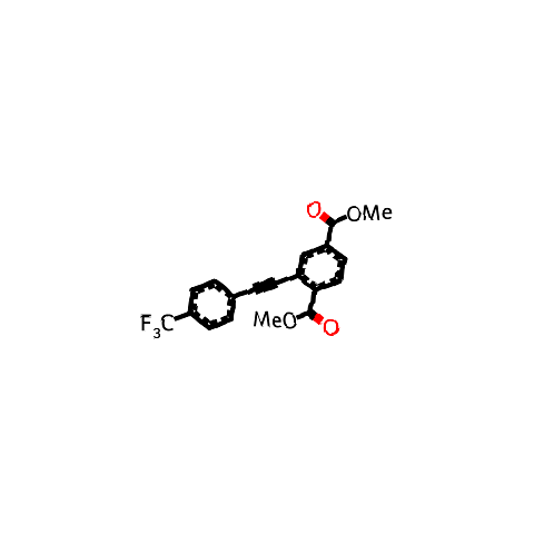 COC(=O)c1ccc(C(=O)OC)c(C#Cc2ccc(C(F)(F)F)cc2)c1